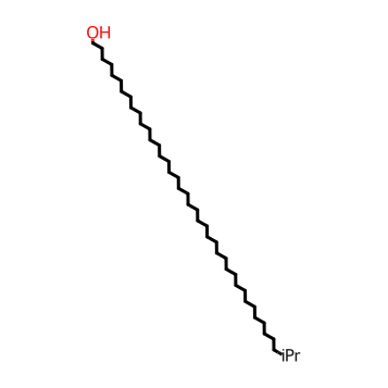 CC(C)CCCCCCCCCCCCCCCCCCCCCCCCCCCCCCCCCCCCCCCO